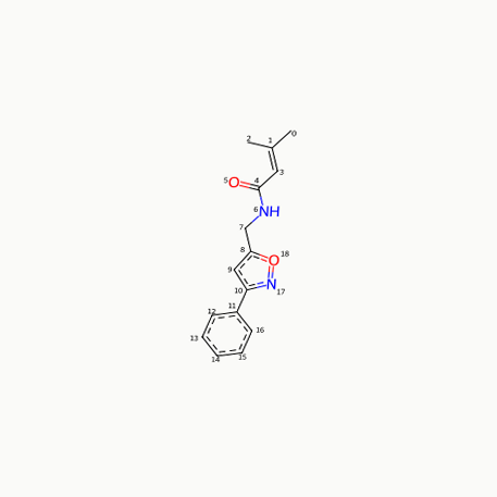 CC(C)=CC(=O)NCc1cc(-c2ccccc2)no1